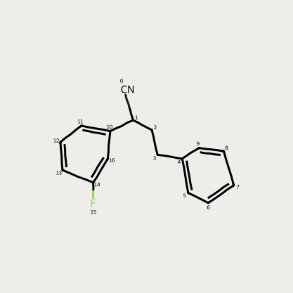 N#CC(CCc1ccccc1)c1cccc(F)c1